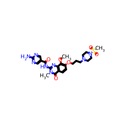 COc1c(OCCCN2CCN(S(C)(=O)=O)CC2)ccc2c(=O)n(C)c(NC(=O)c3cnc(N)nc3)nc12